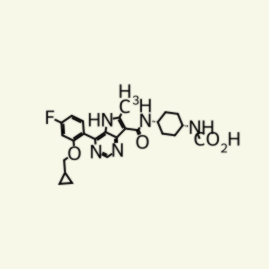 Cc1[nH]c2c(-c3ccc(F)cc3OCC3CC3)ncnc2c1C(=O)N[C@H]1CC[C@@H](NC(=O)O)CC1